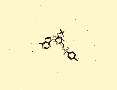 Cc1ccc(S(=O)(=O)OC[C@H]2O[C@@H](n3ccc4c(C)ncnc43)[C@@H]3OC(C)(C)O[C@]23C)cc1